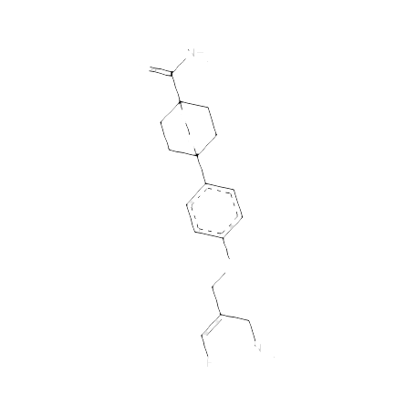 NC/C(=C\F)COc1ccc(C23CCC(C(N)=O)(CC2)CC3)cc1